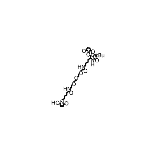 CC(C)(C)OC(=O)NC(CCCCNC(=O)COCCOCCOCCNC(=O)CCCCCN1C(=O)C=CC1O)C(=O)ON1C(=O)CCC1=O